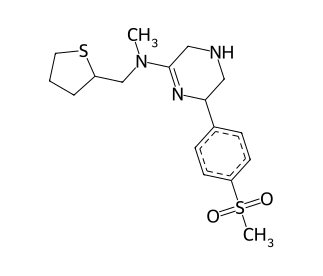 CN(CC1CCCS1)C1=NC(c2ccc(S(C)(=O)=O)cc2)CNC1